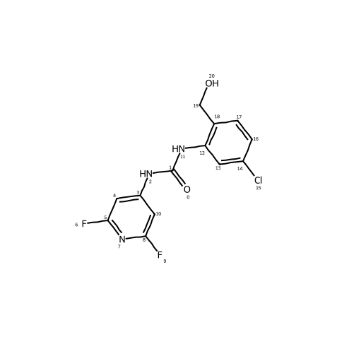 O=C(Nc1cc(F)nc(F)c1)Nc1cc(Cl)ccc1CO